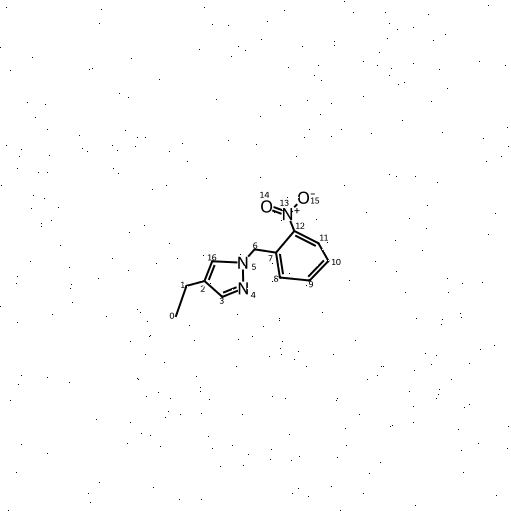 CCc1cnn(Cc2ccccc2[N+](=O)[O-])c1